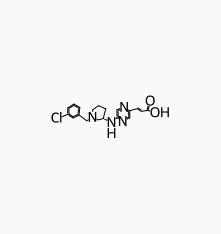 O=C(O)C=Cc1cnc(N[C@@H]2CCCN(Cc3cccc(Cl)c3)C2)cn1